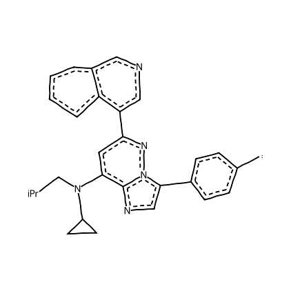 [CH]c1ccc(-c2cnc3c(N(CC(C)C)C4CC4)cc(-c4cncc5ccccc45)nn23)cc1